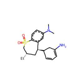 CC[C@H]1C[C@H](C2C=CC=C(N)C2)c2cc(N(C)C)ccc2S(=O)(=O)C1